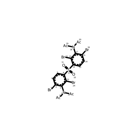 CC(=O)N(C(C)=O)c1c(Br)ccc(S(=O)(=O)c2ccc(Br)c(N(C(C)=O)C(C)=O)c2Br)c1Br